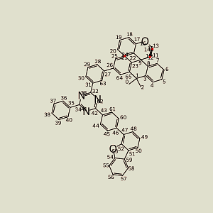 CC1(C)c2ccccc2C2(c3ccccc3Oc3ccccc32)c2ccc(-c3cccc(-c4nc(-c5ccccc5)nc(-c5ccc(-c6cccc7c6oc6ccccc67)cc5)n4)c3)cc21